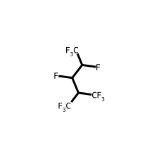 FC(C(F)C(F)(F)F)C(C(F)(F)F)C(F)(F)F